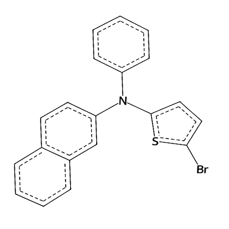 Brc1ccc(N(c2ccccc2)c2ccc3ccccc3c2)s1